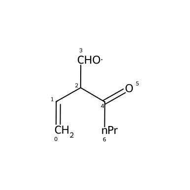 C=CC([C]=O)C(=O)CCC